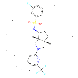 O=S(=O)(N[C@H]1CC[C@@H]2CN(c3cccc(C(F)(F)F)n3)C[C@@H]21)c1cccc(F)c1